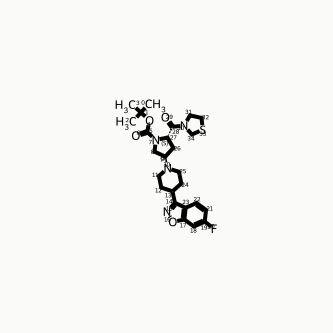 CC(C)(C)OC(=O)N1C[C@@H](N2CCC(c3noc4cc(F)ccc34)CC2)C[C@H]1C(=O)N1CCSC1